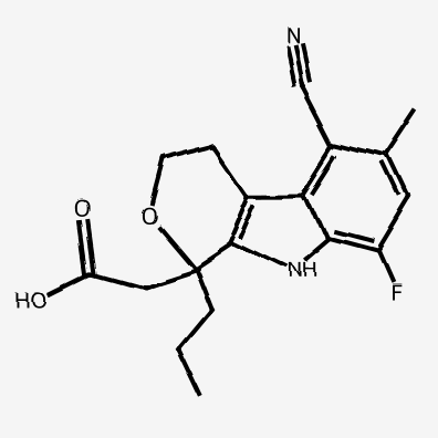 CCCC1(CC(=O)O)OCCc2c1[nH]c1c(F)cc(C)c(C#N)c21